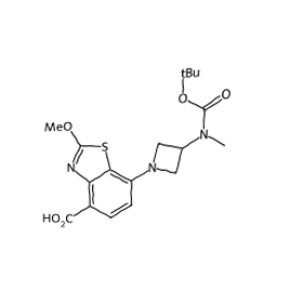 COc1nc2c(C(=O)O)ccc(N3CC(N(C)C(=O)OC(C)(C)C)C3)c2s1